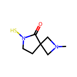 CN1CC2(CCN(S)C2=O)C1